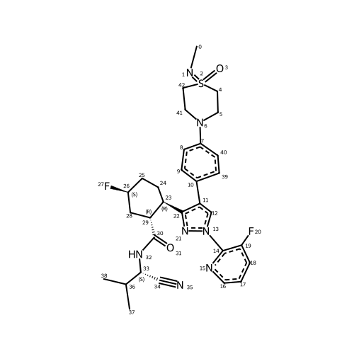 CN=S1(=O)CCN(c2ccc(-c3cn(-c4ncccc4F)nc3[C@@H]3CC[C@H](F)C[C@H]3C(=O)N[C@H](C#N)C(C)C)cc2)CC1